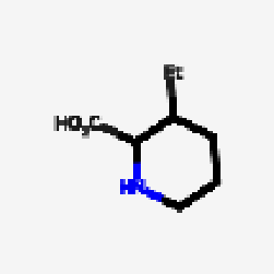 CCC1CCCNC1C(=O)O